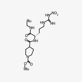 [CH2]CC(C)CNC(=O)[C@H](CCCNC(=N)N[N+](=O)[O-])NC(=O)C1CCN(C(=O)OC(C)(C)C)CC1